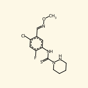 CO/N=C/c1cc(NC(=S)N2CCCCN2)c(F)cc1Cl